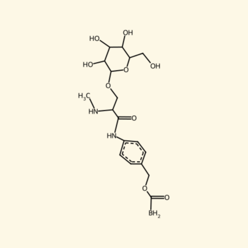 BC(=O)OCc1ccc(NC(=O)C(COC2OC(CO)C(O)C(O)C2O)NC)cc1